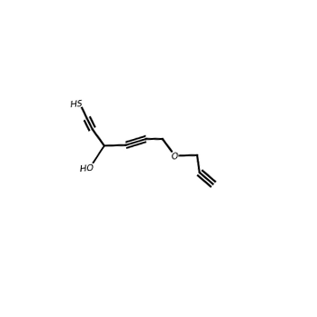 C#CCOCC#CC(O)C#CS